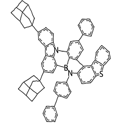 c1ccc(-c2ccc(N3B4c5c(cc(-c6ccccc6)cc5-n5c6ccc(C78CC9CC%10CC(C7)C%109C8)cc6c6cc(C78CC9CC%10CC(C7)C%109C8)cc4c65)-c4c3ccc3sc5ccccc5c43)cc2)cc1